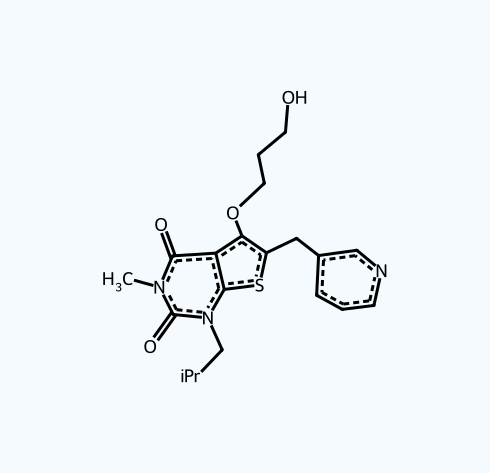 CC(C)Cn1c(=O)n(C)c(=O)c2c(OCCCO)c(Cc3cccnc3)sc21